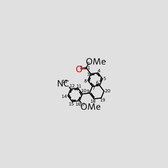 COC(=O)c1ccc2c(c1)C(c1cc(C#N)ccc1OC)=CCC2